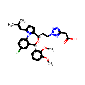 COc1cccc([C@H]2O[C@H](CCn3nnc(CC(=O)O)n3)c3ccc(C=C(C)C)n3-c3ccc(Cl)cc32)c1OC